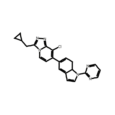 Clc1c(C2=CCC3C(=C2)C=CN3c2ncccn2)ccn2c(CC3CC3)nnc12